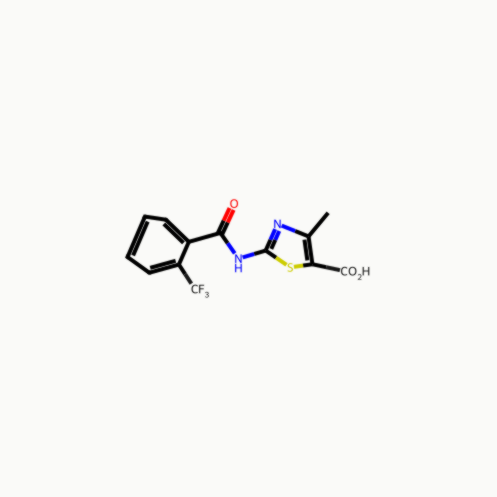 Cc1nc(NC(=O)c2ccccc2C(F)(F)F)sc1C(=O)O